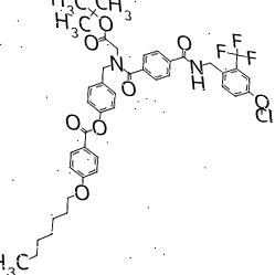 CCCCCCCOc1ccc(C(=O)Oc2ccc(CN(CC(=O)OC(C)(C)C)C(=O)c3ccc(C(=O)NCc4ccc(OC)cc4C(F)(F)F)cc3)cc2)cc1